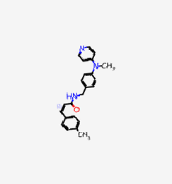 Cc1ccc(/C=C\C(=O)NCc2ccc(N(C)c3ccncc3)cc2)cc1